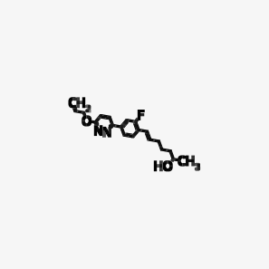 C=CCOc1ccc(-c2ccc(/C=C/CCCC(C)O)c(F)c2)nn1